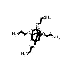 NCCOC12CC3(OCCN)CC(OCCN)(C1)CC(OCCN)(C2)C3